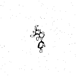 CSc1nc(Cl)c2c(n1)OCCN(c1ccc(Cl)nc1)C2=O